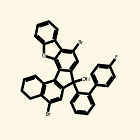 OC1(c2ccccc2-c2ccc(F)cc2)c2cc(Br)c3c(c2-c2c1cc(Br)c1c2oc2ccccc21)C=CCC3